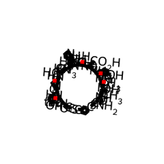 CC(C)[C@]1(C)NC(=O)[C@H](Cc2ccc(O)cc2)NC(=O)[C@H](CCC(=O)O)NC(=O)C(C)(C)NC(=O)[C@H](Cc2c[nH]c3ncccc23)NC(=O)[C@H]([C@@H](C)O)NC(=O)[C@@H]2CCCN2C(=O)[C@H](Cc2ccc(O)cc2)NC(=O)C(C(C)(C)C)NC(=O)CCSCc2cccc(c2)CSC[C@@H](C(N)=O)NC(=O)[C@H]([C@H](C)O)NC1=O